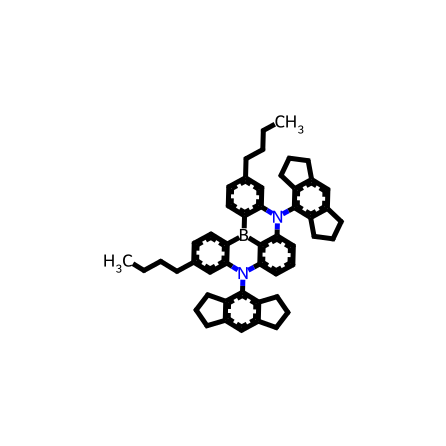 CCCCc1ccc2c(c1)N(c1c3c(cc4c1CCC4)CCC3)c1cccc3c1B2c1ccc(CCCC)cc1N3c1c2c(cc3c1CCC3)CCC2